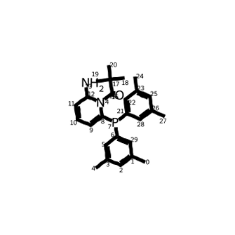 Cc1cc(C)cc(P(C2=CC=CC(N)N2C(=O)C(C)(C)C)c2cc(C)cc(C)c2)c1